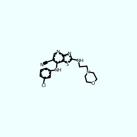 N#Cc1cnc2nc(NCCN3CCOCC3)sc2c1Nc1cccc(Cl)c1